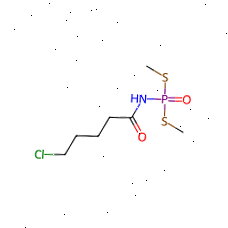 CSP(=O)(NC(=O)CCCCCl)SC